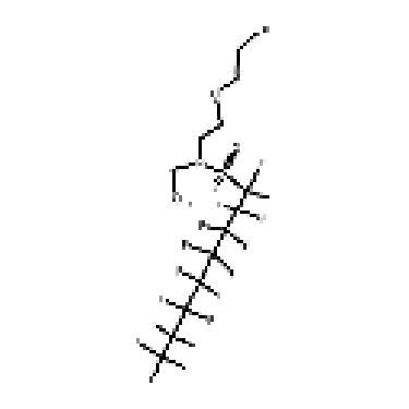 CCN(CCOCCO)S(=O)(=O)C(F)(F)C(F)(F)C(F)(F)C(F)(F)C(F)(F)C(F)(F)C(F)(F)C(F)(F)F